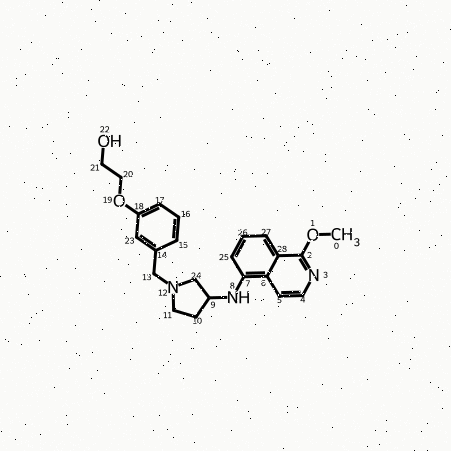 COc1nccc2c(NC3CCN(Cc4cccc(OCCO)c4)C3)cccc12